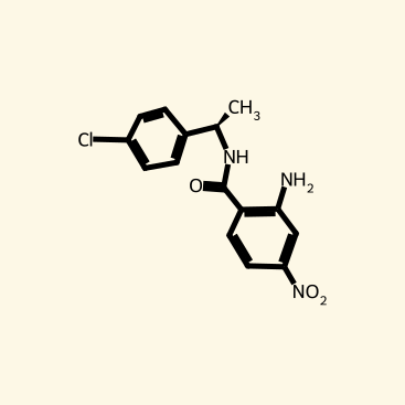 C[C@@H](NC(=O)c1ccc([N+](=O)[O-])cc1N)c1ccc(Cl)cc1